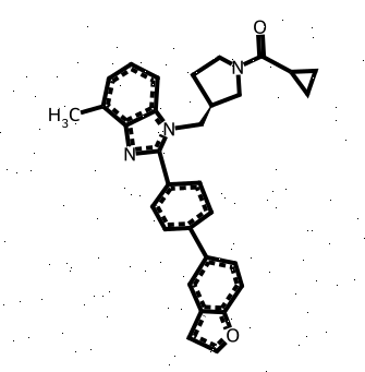 Cc1cccc2c1nc(-c1ccc(-c3ccc4occc4c3)cc1)n2C[C@H]1CCN(C(=O)C2CC2)C1